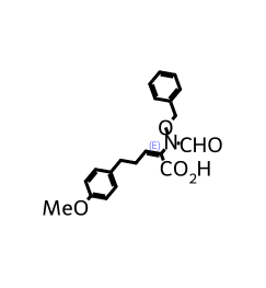 COc1ccc(CC/C=C(\C(=O)O)N(C=O)OCc2ccccc2)cc1